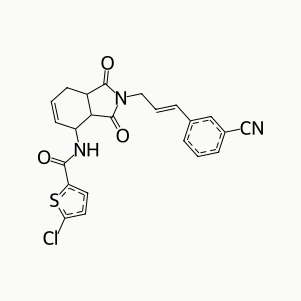 N#Cc1cccc(/C=C/CN2C(=O)C3CC=CC(NC(=O)c4ccc(Cl)s4)C3C2=O)c1